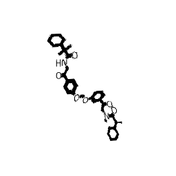 C[C@H](C(=O)N(C)CC(=O)c1cccc(OCOc2ccc(C(=O)CNC(=O)C(C)(C)C3CCCCC3)cc2)c1)C1CCCCC1